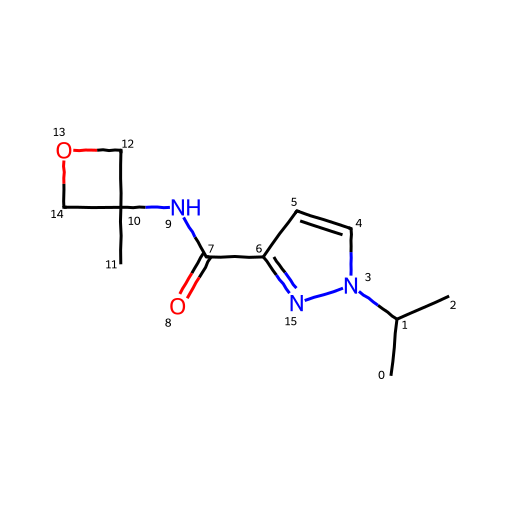 CC(C)n1ccc(C(=O)NC2(C)COC2)n1